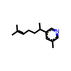 CC(C)=CCCC(C)c1cncc(C)c1